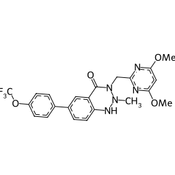 COc1cc(OC)nc(CN2C(=O)c3cc(-c4ccc(OC(F)(F)F)cc4)ccc3NN2C)n1